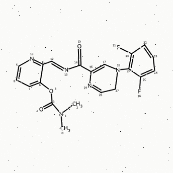 CN(C)C(=O)Oc1cccnc1C=NC(=O)C1=CN(c2c(F)cccc2F)CC=N1